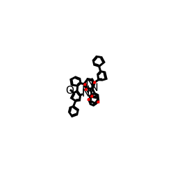 c1ccc(-c2cccc(-c3nc(-c4ccccc4)nc(-c4cccc5oc6cc(-c7ccccc7)cc(-n7c8ccccc8c8ccccc87)c6c45)n3)c2)cc1